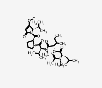 CCC(C)[C@H](OC(=O)[C@H](CC(C)C)N(C)C(C)=O)C(=O)N(C)[C@H](C(=O)N1CCC[C@H]1C(=O)N1C(=O)C=C(OC)[C@@H]1C(C)C)C(C)C